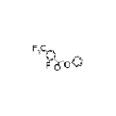 O=C(COc1ccccc1)c1ccc(C(F)(F)F)cc1F